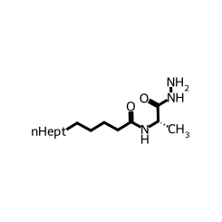 CCCCCCCCCCCC(=O)N[C@@H](C)C(=O)NN